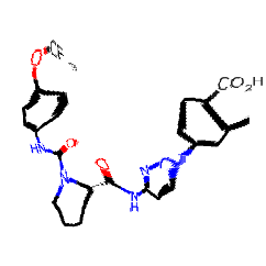 Cc1cc(-n2ccc(NC(=O)[C@@H]3CCCN3C(=O)Nc3ccc(OC(F)(F)F)cc3)n2)ccc1C(=O)O